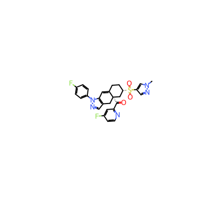 Cn1cc(S(=O)(=O)[C@H]2CCC3=Cc4c(cnn4-c4ccc(F)cc4)C[C@]3(C(=O)c3cc(F)ccn3)C2)cn1